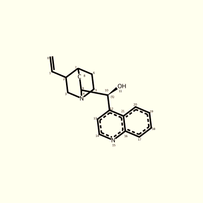 C=CC1CN2CCC1CC2[C@@H](O)c1ccnc2ccccc12